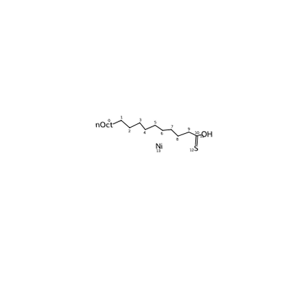 CCCCCCCCCCCCCCCCCC(O)=S.[Ni]